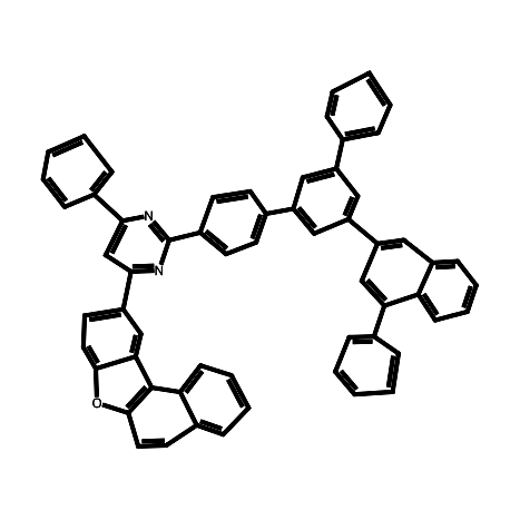 c1ccc(-c2cc(-c3ccc(-c4nc(-c5ccccc5)cc(-c5ccc6oc7ccc8ccccc8c7c6c5)n4)cc3)cc(-c3cc(-c4ccccc4)c4ccccc4c3)c2)cc1